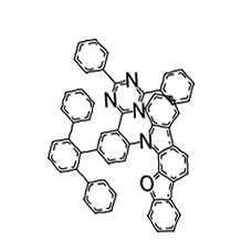 c1ccc(-c2nc(-c3ccccc3)nc(-c3cc(-c4c(-c5ccccc5)cccc4-c4ccccc4)ccc3-n3c4ccccc4c4ccc5c6ccccc6oc5c43)n2)cc1